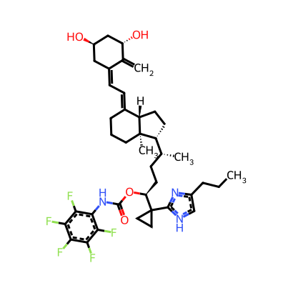 C=C1/C(=C\C=C2/CCC[C@]3(C)[C@@H]([C@H](C)CC[C@H](OC(=O)Nc4c(F)c(F)c(F)c(F)c4F)C4(c5nc(CCC)c[nH]5)CC4)CC[C@@H]23)C[C@@H](O)C[C@@H]1O